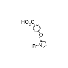 CC(C)N1CCC[C@H]1COc1ccc(C(=O)O)cc1